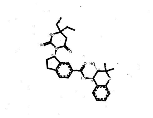 CCC1(CC)CC(=O)N([C@@H]2CCc3ccc(C(=O)N[C@@H]4c5ccccc5OC(C)(C)[C@H]4O)cc32)C(=N)N1